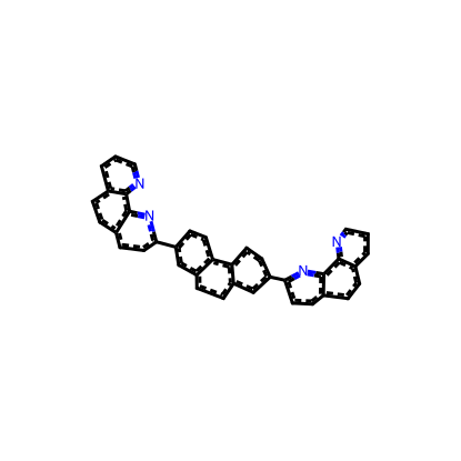 c1cnc2c(c1)ccc1ccc(-c3ccc4c(ccc5cc(-c6ccc7ccc8cccnc8c7n6)ccc54)c3)nc12